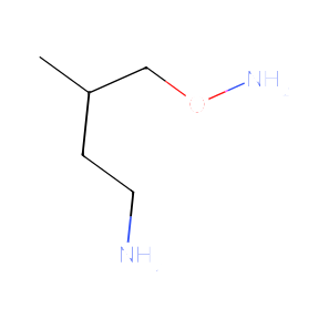 CC([CH]CN)CON